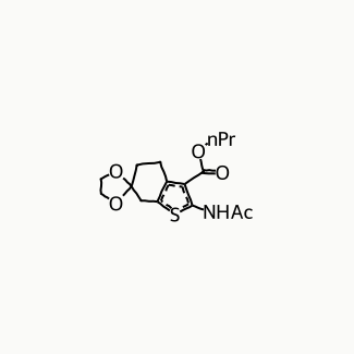 CCCOC(=O)c1c(NC(C)=O)sc2c1CCC1(C2)OCCO1